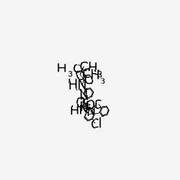 Cc1ccccc1-c1nc(NS(=O)(=O)c2cccc(NC(=O)OC(C)(C)C)n2)ccc1Cl